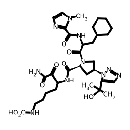 Cn1ccnc1C(=O)NC(CC1CCCCC1)C(=O)N1C[C@@H](n2nncc2C(C)(C)O)C[C@H]1C(=O)NC(CCCCNC(=O)O)C(=O)C(N)=O